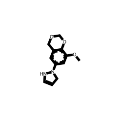 COc1cc(N2CC=CN2)cc2c1OCOC2